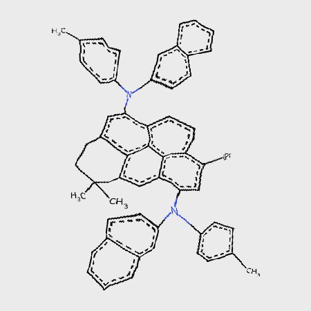 Cc1ccc(N(c2ccc3ccccc3c2)c2cc(C(C)C)c3ccc4c(N(c5ccc(C)cc5)c5ccc6ccccc6c5)cc5c6c(cc2c3c46)C(C)(C)CC5)cc1